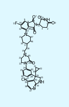 O=C1CCC(N2C(=O)c3cc(F)cc(N4CCC(CCN5CCN(c6cccc(C7(C8CC8)CNc8nccc(Cl)c87)c6)C(=O)C5)CC4)c3C2=O)C(=O)N1